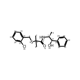 C[C@H](NC(=O)C(C)(C)SCc1ccccc1Cl)[C@H](O)c1ccccc1